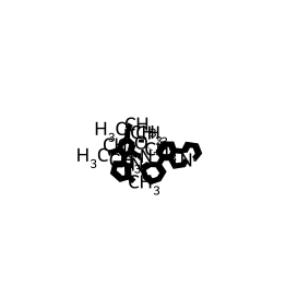 COc1c(C(C)(C)C)cc(C(C)(C)C)c2c3cccc(C)c3n3c4c([n+](C)c3c12)C(c1cccc2c1CC[n+]1ccccc1-2)=CCC=C4